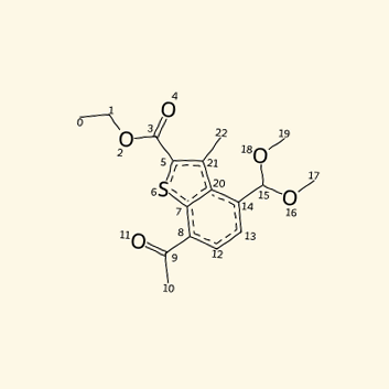 CCOC(=O)c1sc2c(C(C)=O)ccc(C(OC)OC)c2c1C